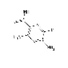 [NH]C(=O)c1nc(Cl)c(N)nc1N